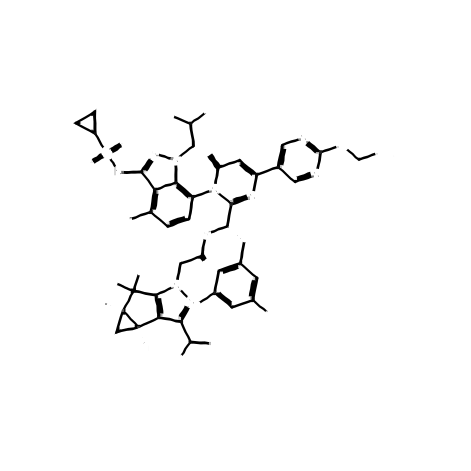 CCOc1ncc(-c2cc(=O)n(-c3ccc(Cl)c4c(NS(=O)(=O)C5CC5)nn(CC(F)F)c34)c([C@H](Cc3cc(F)cc(F)c3)NC(=O)Cn3nc(C(F)F)c4c3C(F)(F)[C@@H]3C[C@H]43)n2)cn1